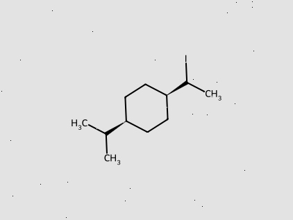 CC(C)[C@H]1CC[C@@H](C(C)I)CC1